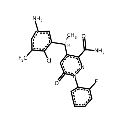 C[C@H](c1cc(=O)n(-c2ccccc2F)nc1C(N)=O)c1cc(N)cc(C(F)(F)F)c1Cl